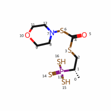 C[C@@H](CSC(=O)SN1CCOCC1)P(=S)(S)S